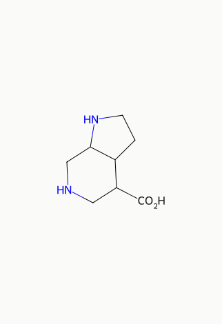 O=C(O)C1CNCC2NCCC21